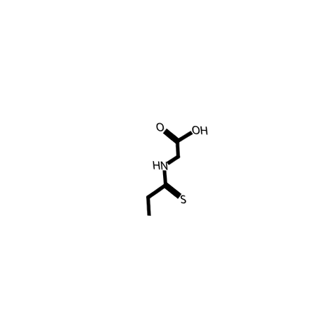 CCC(=S)NCC(=O)O